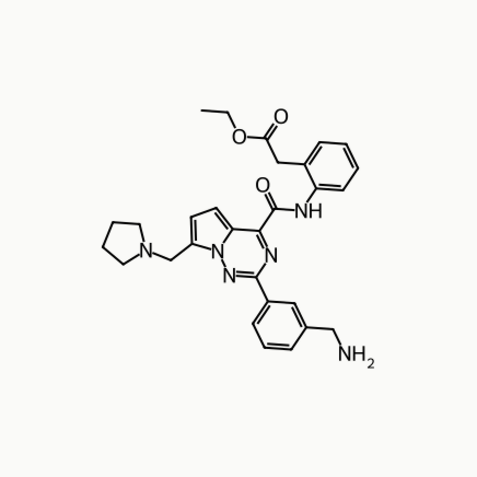 CCOC(=O)Cc1ccccc1NC(=O)c1nc(-c2cccc(CN)c2)nn2c(CN3CCCC3)ccc12